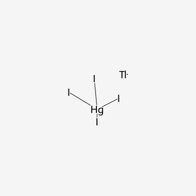 [I][Hg]([I])([I])[I].[Tl]